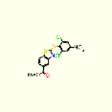 COC(=O)c1ccc2sc(Sc3c(Cl)cc([N+](=O)[O-])cc3Cl)nc2c1